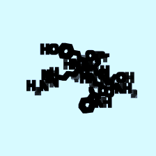 CC(C)C[C@H](NC(=O)[C@H](Cc1ccc(O)cc1)NC(=O)[C@H](C)CCCNC(=N)N)C(=O)N[C@@H](Cc1c[nH]c2ccccc12)C(=O)N[C@@H](CO)C(N)=O